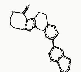 O=C1NCCCn2nc3c(c21)CCc1cnc(-c2cnc4ccccc4c2)nc1-3